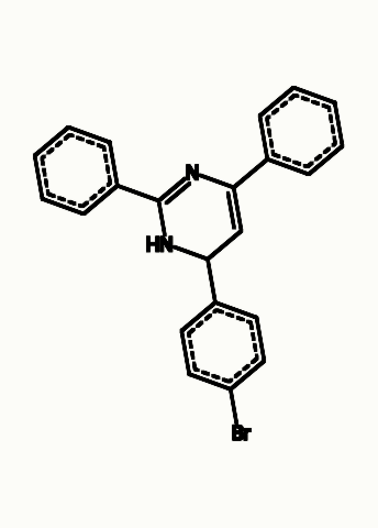 Brc1ccc(C2C=C(c3ccccc3)N=C(c3ccccc3)N2)cc1